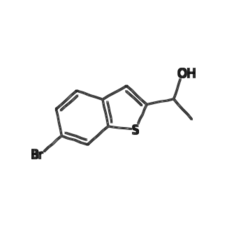 CC(O)c1cc2ccc(Br)cc2s1